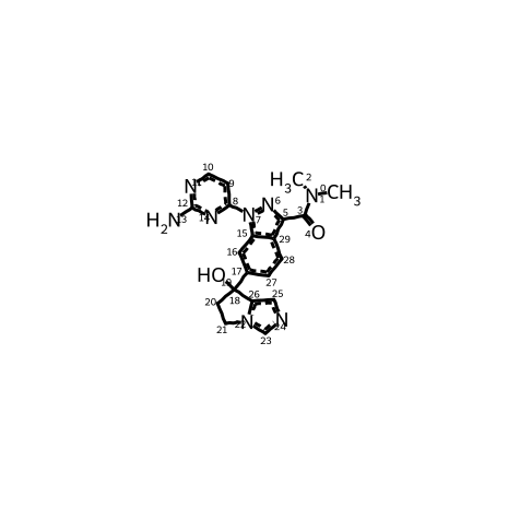 CN(C)C(=O)c1nn(-c2ccnc(N)n2)c2cc(C3(O)CCn4cncc43)ccc12